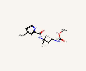 CNc1ccnc(C(=O)NC(C)(C)CCNC(=O)OC(C)(C)C)c1